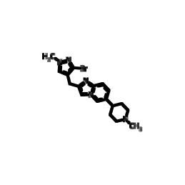 CN1CCC(c2ccc3nc(Cc4cn(C)nc4Br)cn3c2)CC1